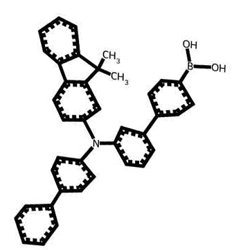 CC1(C)c2ccccc2-c2ccc(N(c3ccc(-c4ccccc4)cc3)c3cccc(-c4ccc(B(O)O)cc4)c3)cc21